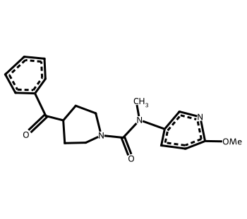 COc1ccc(N(C)C(=O)N2CCC(C(=O)c3ccccc3)CC2)cn1